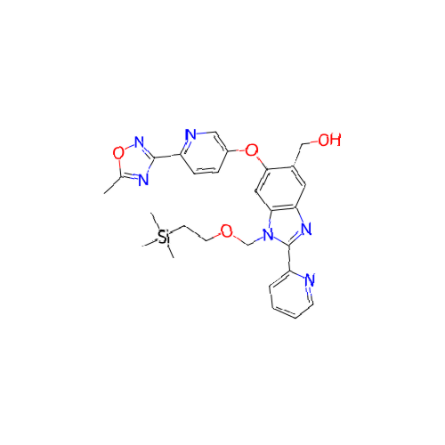 Cc1nc(-c2ccc(Oc3cc4c(cc3CO)nc(-c3ccccn3)n4COCC[Si](C)(C)C)cn2)no1